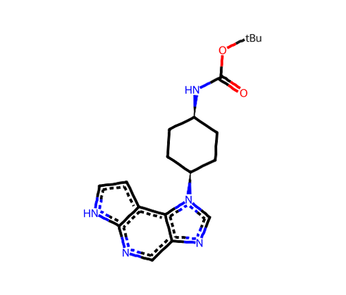 CC(C)(C)OC(=O)N[C@H]1CC[C@@H](n2cnc3cnc4[nH]ccc4c32)CC1